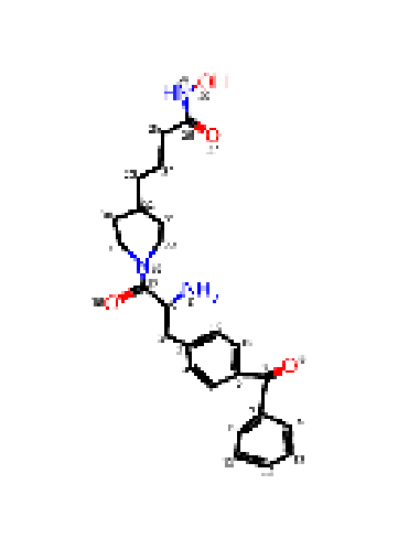 N[C@@H](Cc1ccc(C(=O)c2ccccc2)cc1)C(=O)N1CCC(CCCC(=O)NO)CC1